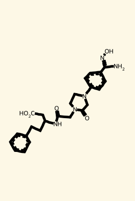 NC(=NO)c1ccc(N2CCN(CC(=O)NC(CCc3ccccc3)CC(=O)O)C(=O)C2)cc1